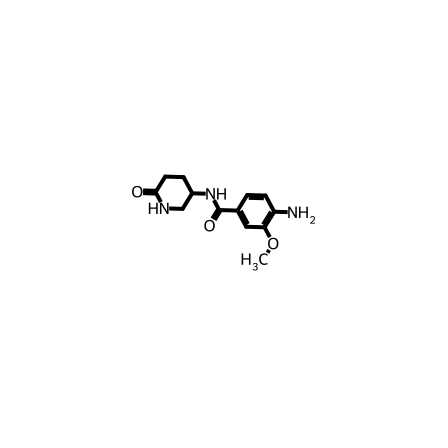 COc1cc(C(=O)NC2CCC(=O)NC2)ccc1N